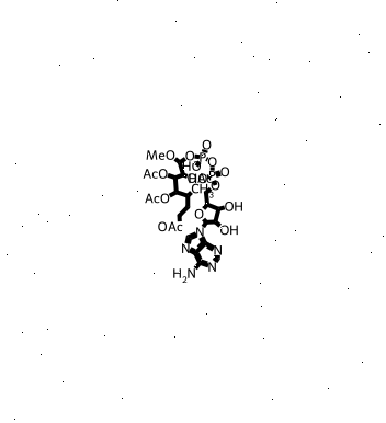 COC(OP(=O)(O)OP(=O)(O)OCC1OC(n2cnc3c(N)ncnc32)C(O)C1O)C(OC(C)=O)C(OC(C)=O)C(OC(C)=O)C(C)CCOC(C)=O